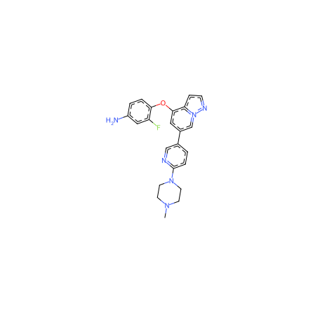 CN1CCN(c2ccc(-c3cc(Oc4ccc(N)cc4F)c4ccnn4c3)cn2)CC1